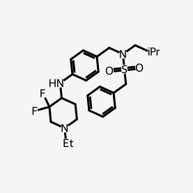 CCN1CCC(Nc2ccc(CN(CC(C)C)S(=O)(=O)Cc3ccccc3)cc2)C(F)(F)C1